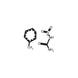 Cc1ccccc1.NC(=O)N[SH](=O)=O